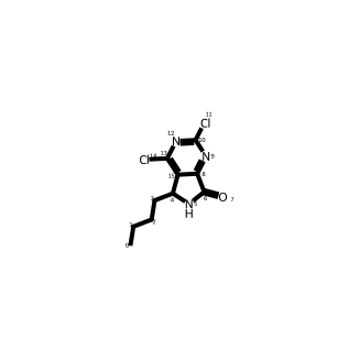 CCCCC1NC(=O)c2nc(Cl)nc(Cl)c21